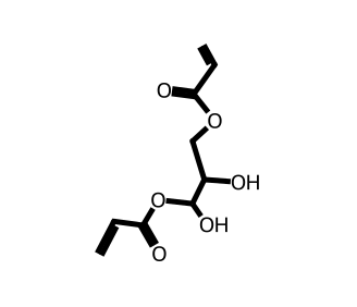 C=CC(=O)OCC(O)C(O)OC(=O)C=C